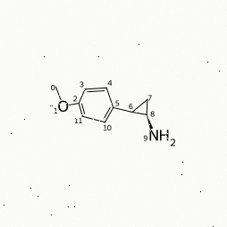 COc1ccc(C2C[C@H]2N)cc1